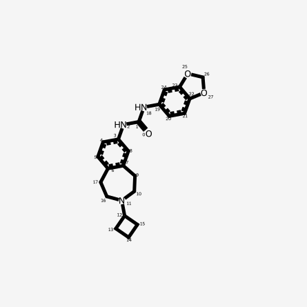 O=C(Nc1ccc2c(c1)CCN(C1CCC1)CC2)Nc1ccc2c(c1)OCO2